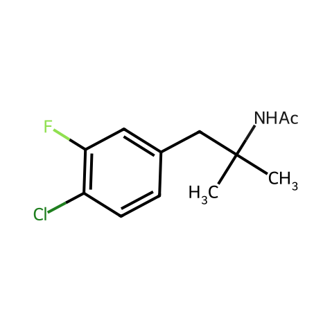 CC(=O)NC(C)(C)Cc1ccc(Cl)c(F)c1